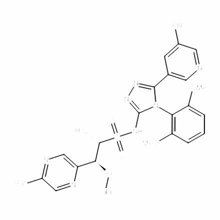 COc1cccc(OC)c1-n1c(NS(=O)(=O)[C@@H](C)[C@@H](OC(C)C)c2cnc(C)cn2)nnc1-c1cncc(C)c1